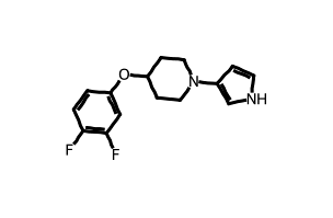 Fc1ccc(OC2CCN(c3cc[nH]c3)CC2)cc1F